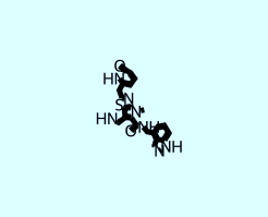 Cn1c(C(=O)NCc2cccc3[nH]ncc23)c(C=N)c2sc(Cc3cccc(=O)[nH]3)nc21